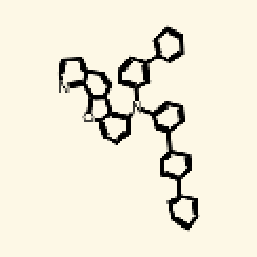 c1ccc(-c2ccc(-c3cccc(N(c4cccc(-c5ccccc5)c4)c4cccc5oc6c(ccc7cccnc76)c45)c3)cc2)cc1